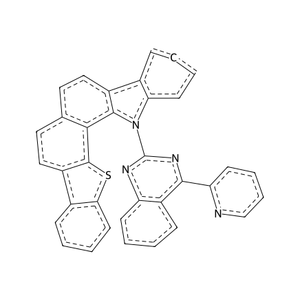 c1ccc(-c2nc(-n3c4ccccc4c4ccc5ccc6c7ccccc7sc6c5c43)nc3ccccc23)nc1